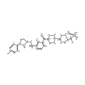 Cc1ccc(C2CCC(CNc3ncnc(C(=O)N4CCC(N5CCC(N(C)S(C)(=O)=O)CC5)CC4)c3C)O2)cc1